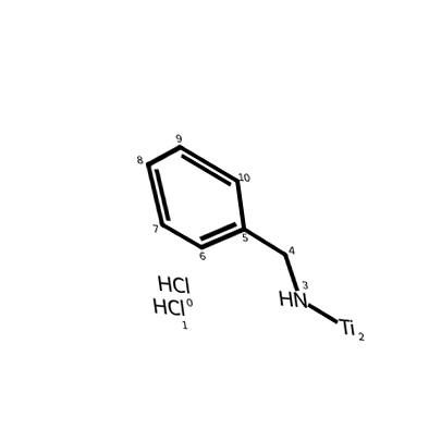 Cl.Cl.[Ti][NH]Cc1ccccc1